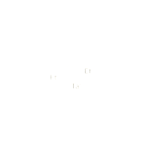 CCCCC.[Ta+5]